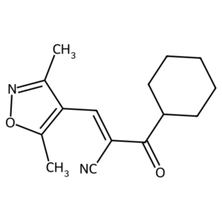 Cc1noc(C)c1C=C(C#N)C(=O)C1CCCCC1